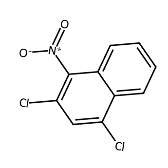 O=[N+]([O-])c1c(Cl)cc(Cl)c2ccccc12